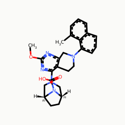 COc1nc2c(c(N3C[C@H]4CC[C@@H](C3)N4C(=O)O)n1)CCN(c1cccc3cccc(C)c13)C2